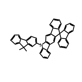 CC1(C)c2ccccc2-c2ccc(-n3c4ccccc4c4cc5c(cc43)-c3ccccc3C53c4ccccc4-c4ccccc43)cc21